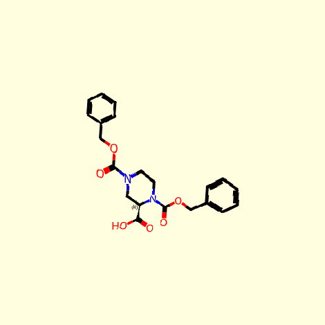 O=C(O)[C@H]1CN(C(=O)OCc2ccccc2)CCN1C(=O)OCc1ccccc1